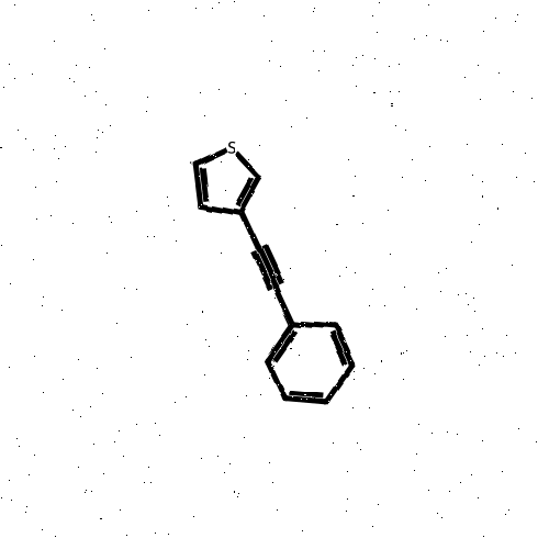 C(#Cc1c[c]sc1)c1ccccc1